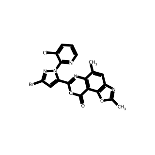 Cc1nc2cc(C)c3nc(-c4cc(Br)nn4-c4ncccc4Cl)oc(=O)c3c2o1